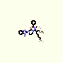 CCCCCC(CC)C(N1CCCN(c2nc3ccccc3[nH]2)CC1)N(C)C(=O)c1ccccc1